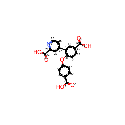 O=C(O)c1ccc(Oc2ccc(C(=O)O)cc2-c2ccnc(C(=O)O)c2)cc1